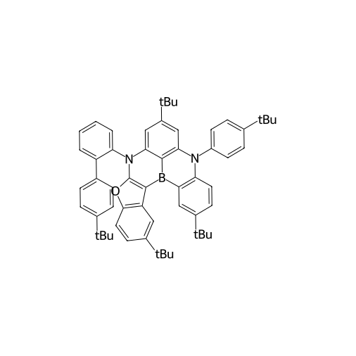 CC(C)(C)c1ccc(-c2ccccc2N2c3cc(C(C)(C)C)cc4c3B(c3cc(C(C)(C)C)ccc3N4c3ccc(C(C)(C)C)cc3)c3c2oc2ccc(C(C)(C)C)cc32)cc1